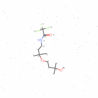 COC(C)(C)CCOC(C)(C)CCNC(=O)C(F)(F)F